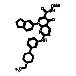 CONC(=O)c1cn(-c2ccc3c(c2)CCC3)c2nc(Nc3cccc(C4CCN(CC(F)(F)F)CC4)c3)ncc2c1=O